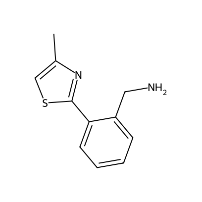 Cc1csc(-c2ccccc2CN)n1